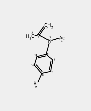 C=C(C)N(C(C)=O)c1ccc(Br)cc1